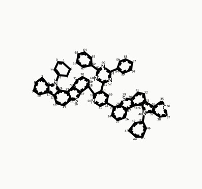 C1=CCCC(n2c3ccccc3c3ccc4sc5c(-c6ncc(-c7cccc8c7sc7ccc9c%10ccccc%10n(-c%10ccccc%10)c9c78)cc6-c6nc(-c7ccccc7)nc(-c7ccccc7)n6)cccc5c4c32)=C1